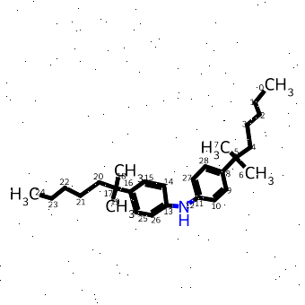 CCCCCC(C)(C)c1ccc(Nc2ccc(C(C)(C)CCCCC)cc2)cc1